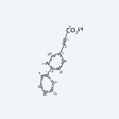 O=C(O)C#Cc1ccc(-c2ccccc2)nc1